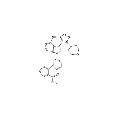 NC(=O)c1ccccc1-c1cccc(-c2cc(-c3ccnn3C3CCOCC3)c3c(N)nccn23)c1